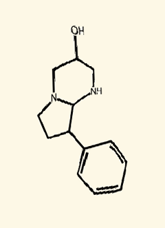 OC1CNC2C(c3ccccc3)CCN2C1